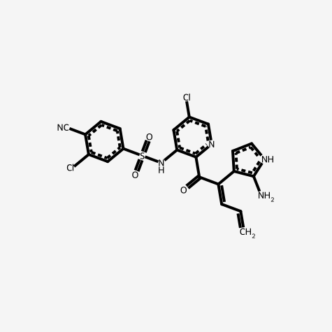 C=C/C=C(/C(=O)c1ncc(Cl)cc1NS(=O)(=O)c1ccc(C#N)c(Cl)c1)c1cc[nH]c1N